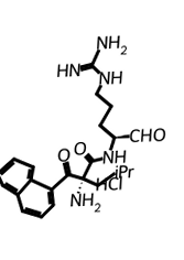 CC(C)C[C@](N)(C(=O)N[C@H](C=O)CCCNC(=N)N)C(=O)c1cccc2ccccc12.Cl